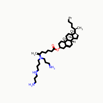 C=C(CCCCC(=O)O[C@H]1CC[C@@]2(C)C(=CC[C@@H]3C2CC[C@]2(C)[C@@H]([C@H](C)CCCC(C)C)CC[C@@H]32)C1)N(CCCN)CCCCNCCCN